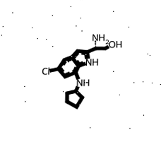 N[C@H](CO)c1cc2cc(Cl)cc(NC3CCCC3)c2[nH]1